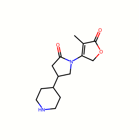 CC1=C(N2CC(C3CCNCC3)CC2=O)COC1=O